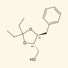 CCC1(CC)O[C@@H](CO)[C@H](Cc2ccccc2)O1